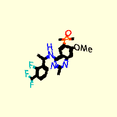 COc1cc2nc(C)nc(NC(C)c3cccc(C(F)F)c3F)c2cc1P(C)(C)=O